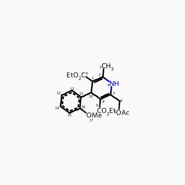 CCOC(=O)C1=C(C)NC(COC(C)=O)=C(C(=O)OCC)C1c1ccccc1OC